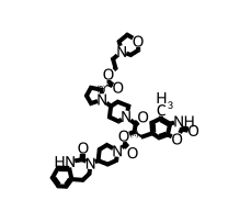 Cc1cc(C[C@@H](OC(=O)N2CCC(N3CCc4ccccc4NC3=O)CC2)C(=O)N2CCC(N3CCC[C@@H]3C(=O)OCCN3CCOCC3)CC2)cc2oc(=O)[nH]c12